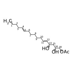 C=CCC/C=C/CCCCC/C=C/[C@H](O)C[C@H](O)COC(C)=O